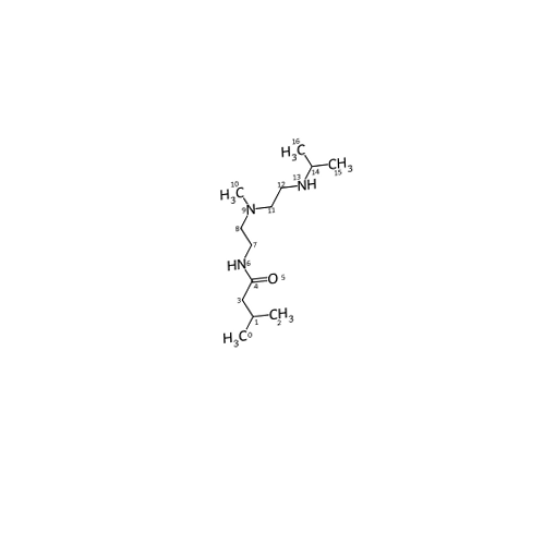 CC(C)CC(=O)NCCN(C)CCNC(C)C